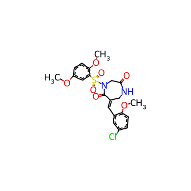 COc1ccc(OC)c(S(=O)(=O)N2CC(=O)NC/C(=C\c3cc(Cl)ccc3OC)C2=O)c1